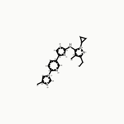 CCc1nn(C2CC2)c(Nc2nc(-c3ccc(-n4cnc(C)c4)nc3)cs2)c1C